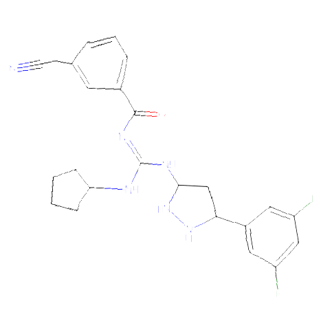 N#Cc1cccc(C(=O)/N=C(/NC2CCCC2)NC2CC(c3cc(F)cc(F)c3)NN2)c1